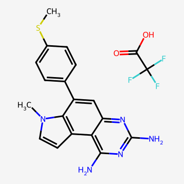 CSc1ccc(-c2cc3nc(N)nc(N)c3c3ccn(C)c23)cc1.O=C(O)C(F)(F)F